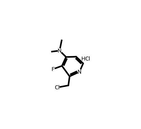 CN(C)c1ccnc(CCl)c1F.Cl